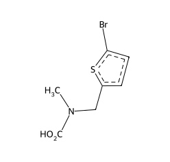 CN(Cc1ccc(Br)s1)C(=O)O